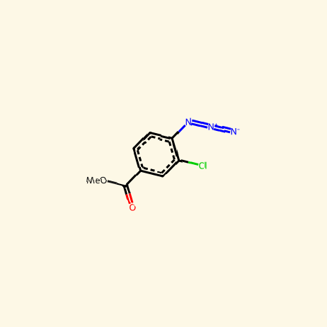 COC(=O)c1ccc(N=[N+]=[N-])c(Cl)c1